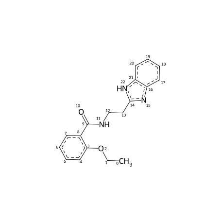 CCOc1ccccc1C(=O)NCCc1nc2ccccc2[nH]1